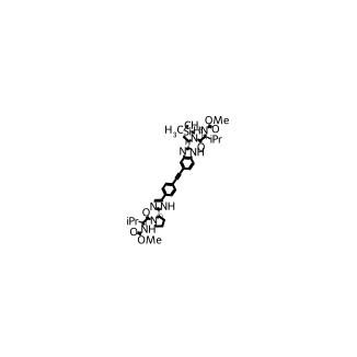 COC(=O)N[C@H](C(=O)N1CCC[C@H]1c1ncc(-c2ccc(C#Cc3ccc4[nH]c([C@@H]5C[Si](C)(C)CN5C(=O)[C@@H](NC(=O)OC)C(C)C)nc4c3)cc2)[nH]1)C(C)C